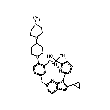 Cc1cc(Nc2ncc3cc(C4CC4)n(-c4cccc(C(C)(C)O)n4)c3n2)ccc1N1CCC(N2CCN(C)CC2)CC1